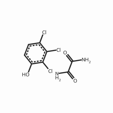 NC(=O)C(N)=O.Oc1ccc(Cl)c(Cl)c1Cl